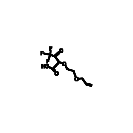 C=CCOCCOC(C(=O)O)C(=O)C(F)(F)F